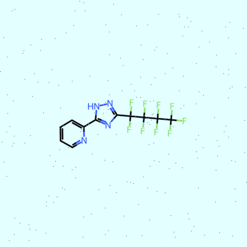 FC(F)(F)C(F)(F)C(F)(F)C(F)(F)c1n[nH]c(-c2ccccn2)n1